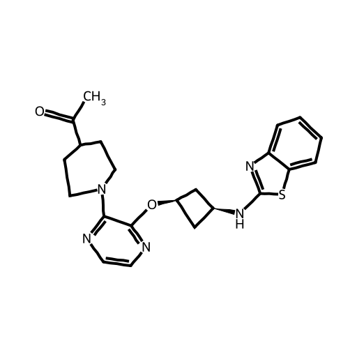 CC(=O)C1CCN(c2nccnc2O[C@H]2C[C@@H](Nc3nc4ccccc4s3)C2)CC1